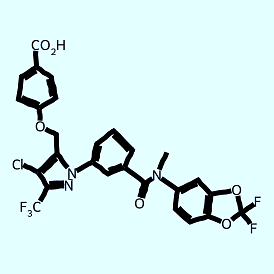 CN(C(=O)c1cccc(-n2nc(C(F)(F)F)c(Cl)c2COc2ccc(C(=O)O)cc2)c1)c1ccc2c(c1)OC(F)(F)O2